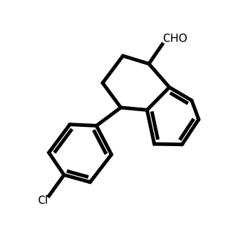 O=CC1CCC(c2ccc(Cl)cc2)c2ccccc21